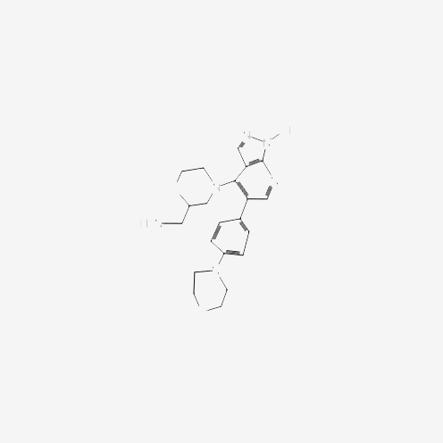 Cn1ncc2c(N3CCOC(CN)C3)c(-c3ccc(N4CCOCC4)cc3)cnc21